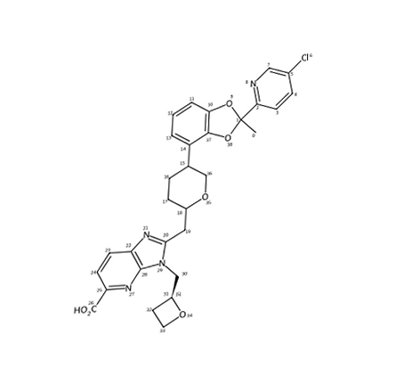 CC1(c2ccc(Cl)cn2)Oc2cccc(C3CCC(Cc4nc5ccc(C(=O)O)nc5n4C[C@@H]4CCO4)OC3)c2O1